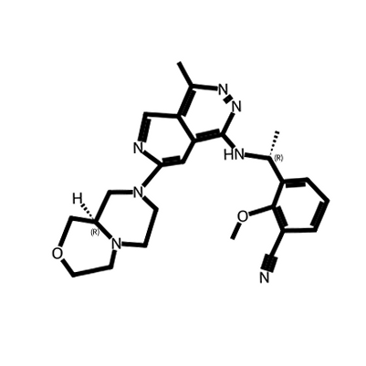 COc1c(C#N)cccc1[C@@H](C)Nc1nnc(C)c2cnc(N3CCN4CCOC[C@H]4C3)cc12